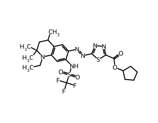 CCN1c2cc(NS(=O)(=O)C(F)(F)F)c(N=Nc3nnc(C(=O)OC4CCCC4)s3)cc2C(C)CC1(C)C